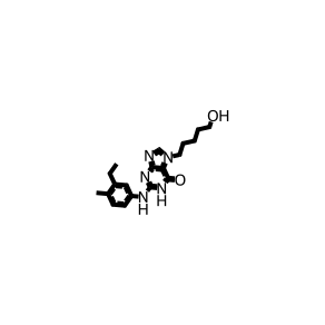 CCc1cc(Nc2nc3ncn(CCCCCO)c3c(=O)[nH]2)ccc1C